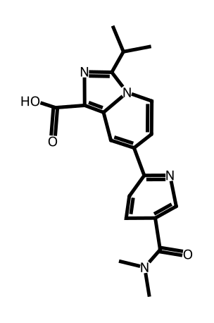 CC(C)c1nc(C(=O)O)c2cc(-c3ccc(C(=O)N(C)C)cn3)ccn12